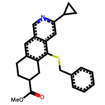 COC(=O)C1CCc2cc3cnc(C4CC4)cc3c(SCc3ccccc3)c2C1